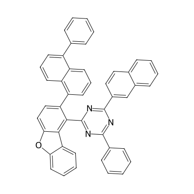 c1ccc(-c2nc(-c3ccc4ccccc4c3)nc(-c3c(-c4cccc5c(-c6ccccc6)cccc45)ccc4oc5ccccc5c34)n2)cc1